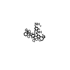 COC(=O)c1nc(C(=O)NC2(C(=O)OC)CCCCC2)ccc1-c1cc2c(cc1C(=O)Nc1c(C)cc(CN)cc1C)-c1sccc1CCO2